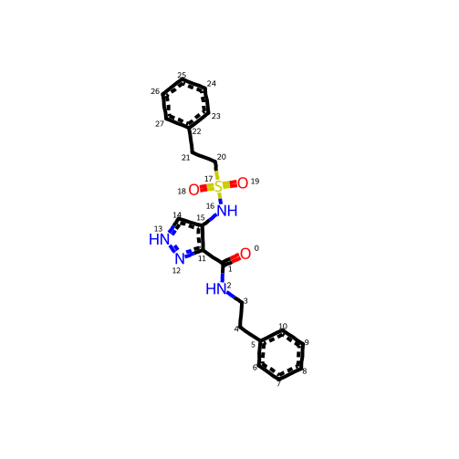 O=C(NCCc1ccccc1)c1n[nH]cc1NS(=O)(=O)CCc1ccccc1